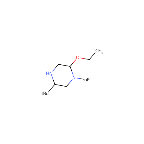 CCCN1CC(C(C)(C)C)NCC1OCC(F)(F)F